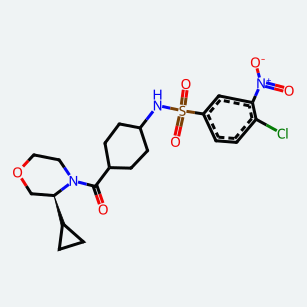 O=C(C1CCC(NS(=O)(=O)c2ccc(Cl)c([N+](=O)[O-])c2)CC1)N1CCOC[C@@H]1C1CC1